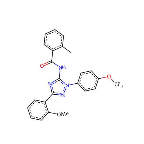 COc1ccccc1-c1nc(NC(=O)c2ccccc2C)n(-c2ccc(OC(F)(F)F)cc2)n1